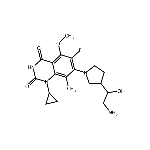 COc1c(F)c(N2CCC(C(O)CN)C2)c(C)c2c1c(=O)[nH]c(=O)n2C1CC1